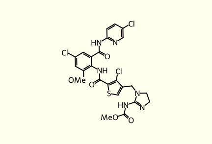 COC(=O)NC1=NCCN1Cc1csc(C(=O)Nc2c(OC)cc(Cl)cc2C(=O)Nc2ccc(Cl)cn2)c1Cl